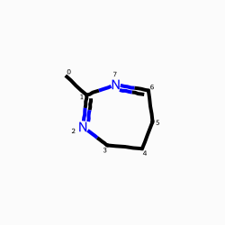 CC1=NCCCC=N1